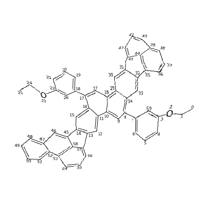 CCOc1cccc(-c2cc3c4cc5c(cc4c(-c4cccc(OCC)c4)cc3c3cc4c(cc23)-c2cccc3cccc-4c23)-c2cc3ccccc3c3cccc-5c23)c1